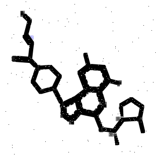 Cc1cc(F)c2nc(O[C@@H](C)[C@@H]3CCCN3C)c3nnn(C4CCN(C(=O)/C=C/CF)CC4)c3c2c1